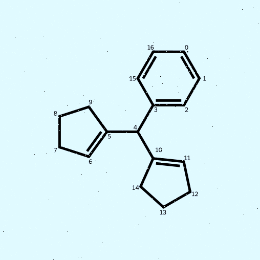 [c]1ccc(C(C2=CCCC2)C2=CCCC2)cc1